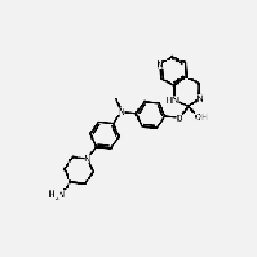 CN(c1ccc(OC2(O)N=Cc3ccncc3N2)cc1)c1ccc(N2CCC(N)CC2)cc1